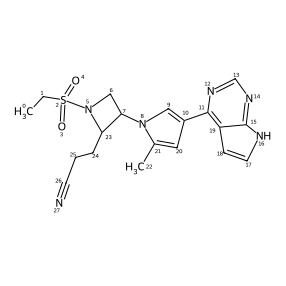 CCS(=O)(=O)N1CC(n2cc(-c3ncnc4[nH]ccc34)cc2C)C1CCC#N